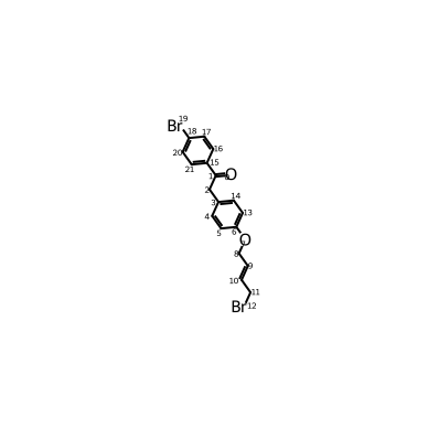 O=C(Cc1ccc(OC/C=C/CBr)cc1)c1ccc(Br)cc1